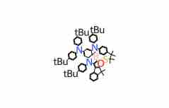 CC(C)(C)c1ccc(N(C2=CC3N(c4ccc(C(C)(C)C)cc4)c4c(oc5c4-c4ccccc4C5(C)C)B4c5c(ccc6c5SC(C)(C)C6(C)C)N(c5ccc(C(C)(C)C)cc5)C(=C2)C43C)c2ccc(C(C)(C)C)cc2)cc1